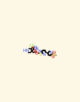 CS(=O)(=O)c1ccc(-c2ccc3nc(OCCC4(c5cnno5)CCNCC4C(F)(F)F)sc3n2)cn1